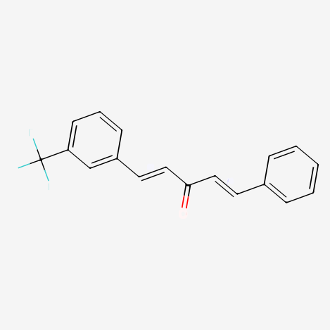 O=C(/C=C/c1ccccc1)/C=C/c1cccc(C(F)(F)F)c1